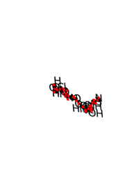 Cc1cc(Nc2ncc(Cl)c(Nc3ccccc3S(=O)(=O)C(C)C)n2)c(OC(C)C)cc1C1CCN(C(=O)CCOCCC(=O)N[C@H](C(=O)N2C[C@H](O)C[C@H]2C(=O)NCc2ccc(-c3scnc3C)cc2)C(C)(C)C)CC1